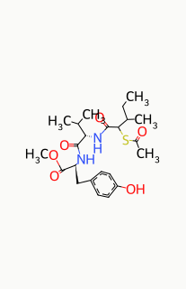 CCC(C)C(SC(C)=O)C(=O)N[C@H](C(=O)N[C@@H](Cc1ccc(O)cc1)C(=O)OC)C(C)C